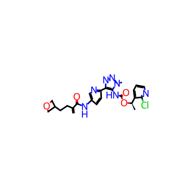 C=C(CCC1COC1)C(=O)Nc1ccc(-c2nnn(C)c2NC(=O)O[C@H](C)c2cccnc2Cl)nc1